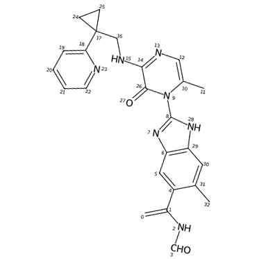 C=C(NC=O)c1cc2nc(-n3c(C)cnc(NCC4(c5ccccn5)CC4)c3=O)[nH]c2cc1C